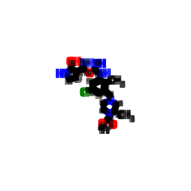 Cc1c(CN2CCN(C(=O)OC(C)C)[C@@H](C)C2)cc(Cl)cc1NC(=N)OC(=N)C1CCNC1O